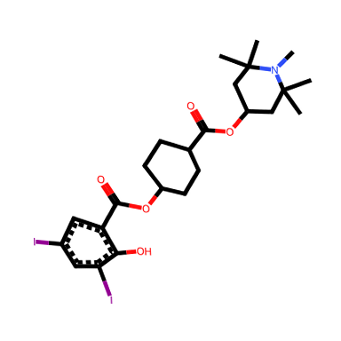 CN1C(C)(C)CC(OC(=O)C2CCC(OC(=O)c3cc(I)cc(I)c3O)CC2)CC1(C)C